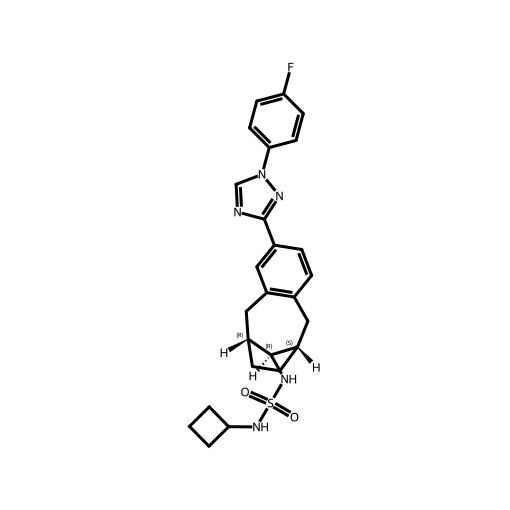 O=S(=O)(NC1CCC1)N[C@H]1[C@@H]2CC[C@H]1Cc1ccc(-c3ncn(-c4ccc(F)cc4)n3)cc1C2